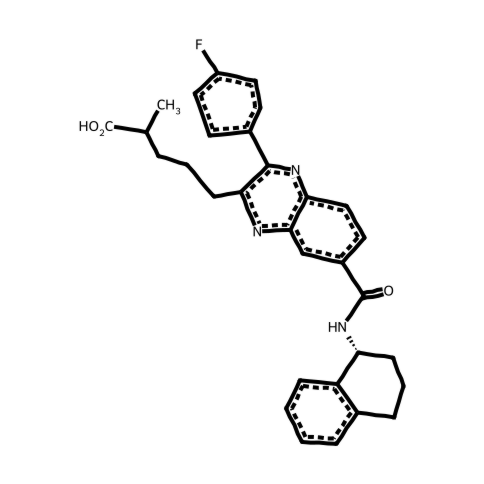 CC(CCCc1nc2cc(C(=O)N[C@@H]3CCCc4ccccc43)ccc2nc1-c1ccc(F)cc1)C(=O)O